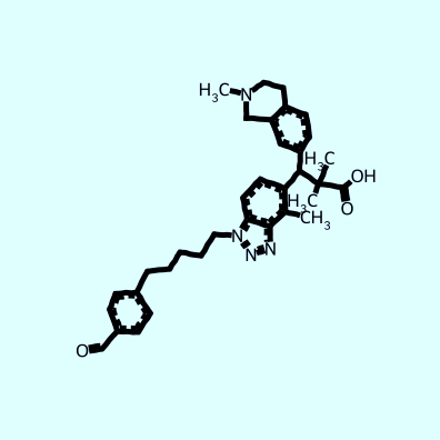 Cc1c(C(c2ccc3c(c2)CN(C)CC3)C(C)(C)C(=O)O)ccc2c1nnn2CCCCCc1ccc(C=O)cc1